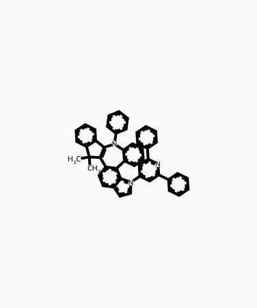 CC1(C)C2=C(c3ccccc31)N(c1ccccc1)c1ccccc1-c1c2ccc2ccn(-c3cc(-c4ccccc4)nc(-c4ccccc4)c3)c12